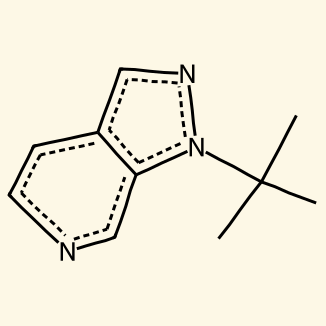 CC(C)(C)n1ncc2ccncc21